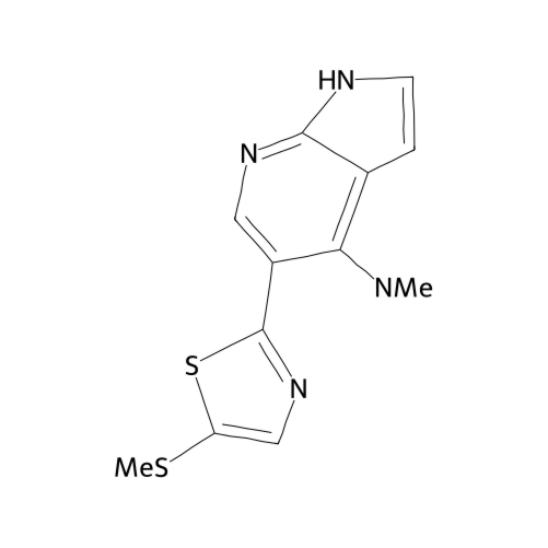 CNc1c(-c2ncc(SC)s2)cnc2[nH]ccc12